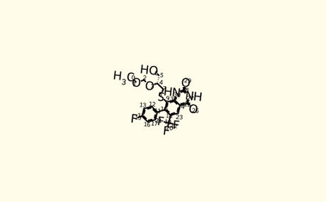 COCO[C@H](CO)CSc1c(-c2ccc(F)cc2)c(C(F)(F)F)cc2c(=O)[nH]c(=O)[nH]c12